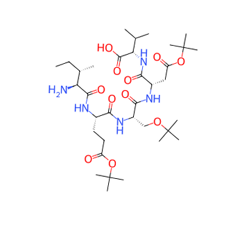 CC[C@H](C)[C@H](N)C(=O)N[C@@H](CCC(=O)OC(C)(C)C)C(=O)N[C@@H](COC(C)(C)C)C(=O)N[C@@H](CC(=O)OC(C)(C)C)C(=O)N[C@H](C(=O)O)C(C)C